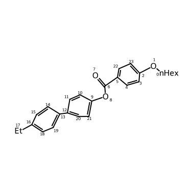 CCCCCCOc1ccc(C(=O)Oc2ccc(-c3ccc(CC)cc3)cc2)cc1